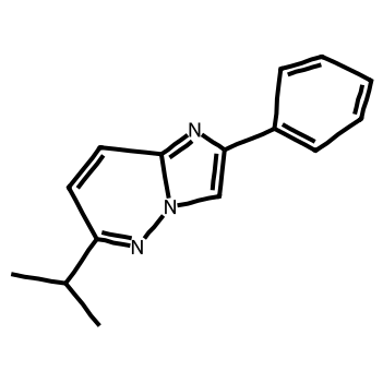 CC(C)c1ccc2nc(-c3ccccc3)cn2n1